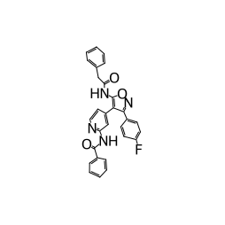 O=C(Cc1ccccc1)Nc1onc(-c2ccc(F)cc2)c1-c1ccnc(NC(=O)c2ccccc2)c1